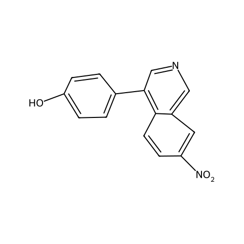 O=[N+]([O-])c1ccc2c(-c3ccc(O)cc3)cncc2c1